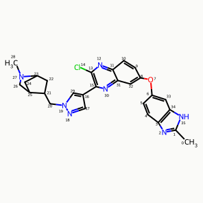 Cc1nc2ccc(Oc3ccc4nc(Cl)c(-c5cnn(CC6CC7CC6CN7C)c5)nc4c3)cc2[nH]1